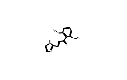 COc1cccc(OC)c1C(=O)C=Cc1ncc[nH]1